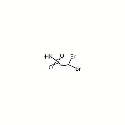 [NH]S(=O)(=O)CC(Br)Br